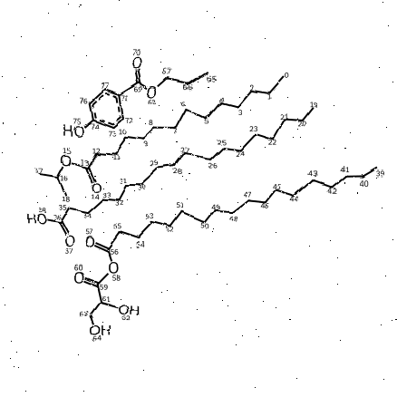 CCCCCCCCCCCCCC(=O)OC(C)C.CCCCCCCCCCCCCCCCCC(=O)O.CCCCCCCCCCCCCCCCCC(=O)OC(=O)C(O)CO.CCCOC(=O)c1ccc(O)cc1